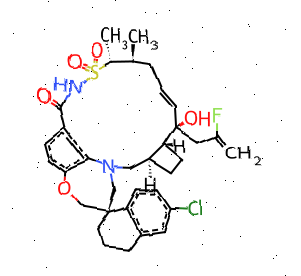 C=C(F)C[C@@]1(O)/C=C/C[C@H](C)[C@@H](C)S(=O)(=O)NC(=O)c2ccc3c(c2)N(C[C@@H]2CC[C@H]21)C[C@@]1(CCCc2cc(Cl)ccc21)CO3